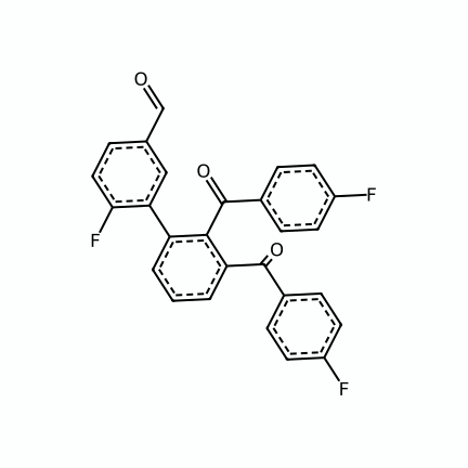 O=Cc1ccc(F)c(-c2cccc(C(=O)c3ccc(F)cc3)c2C(=O)c2ccc(F)cc2)c1